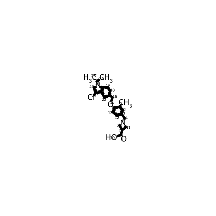 Cc1cc(CN2CC(C(=O)O)C2)ccc1OCc1ccc2c(c1)c(Cl)cn2C(C)C